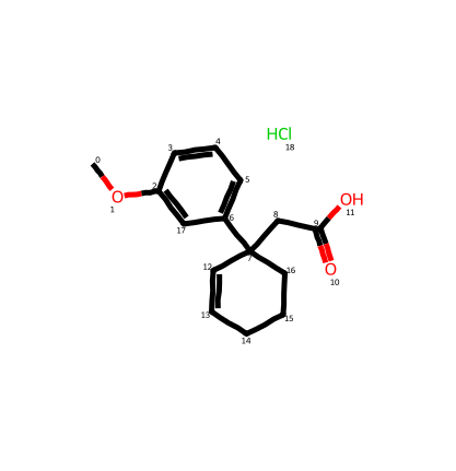 COc1cccc(C2(CC(=O)O)C=CCCC2)c1.Cl